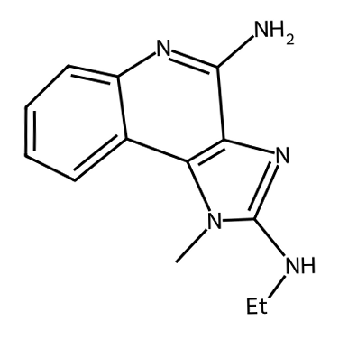 CCNc1nc2c(N)nc3ccccc3c2n1C